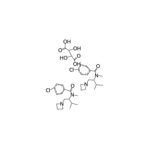 CC(C)C(CN1CCC1)N(C)C(=O)c1ccc(Cl)cc1.CC(C)C(CN1CCC1)N(C)C(=O)c1ccc(Cl)cc1.O=C(O)C(O)C(O)C(=O)O